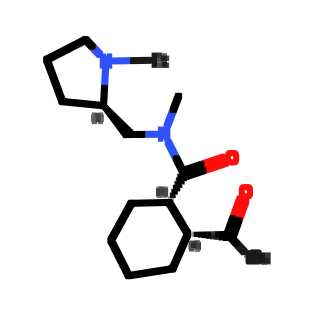 CCN1CCC[C@@H]1CN(C)C(=O)[C@H]1CCCC[C@H]1C(=O)C(C)(C)C